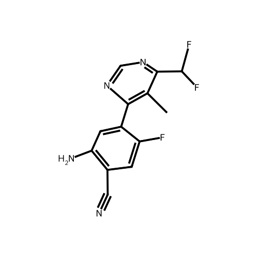 Cc1c(-c2cc(N)c(C#N)cc2F)ncnc1C(F)F